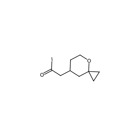 O=C(I)CC1CCOC2(CC2)C1